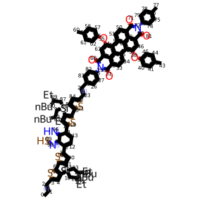 C/C=C/c1cc2c(s1)-c1sc(C3=CC=C(c4cc5c(s4)-c4sc(/C=C/c6ccc(N7C(=O)c8ccc9c%10c(Oc%11ccc(C)cc%11)cc%11c%12c(ccc(c%13c(Oc%14ccc(C)cc%14)cc(c8c9%13)C7=O)c%12%10)C(=O)N(c7ccc(C)cc7)C%11=O)cc6)cc4[Si]5(CC(CC)CCCC)CC(CC)CCCC)C(=N)/C3=N\S)cc1[Si]2(CC(CC)CCCC)CC(CC)CCCC